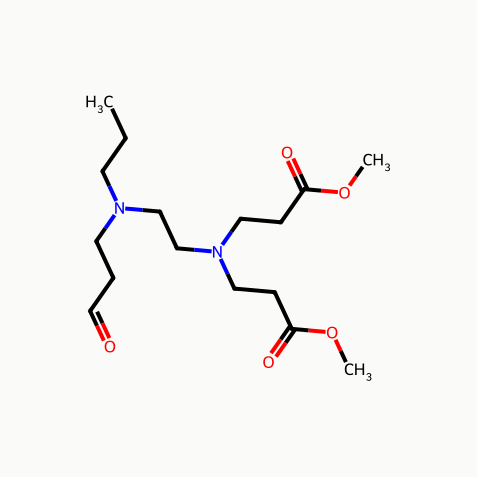 CCCN(CCC=O)CCN(CCC(=O)OC)CCC(=O)OC